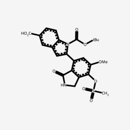 COc1cc(-c2cc3cc(C(=O)O)ccc3n2C(=O)OC(C)(C)C)c2c(c1OS(C)(=O)=O)CNC2=O